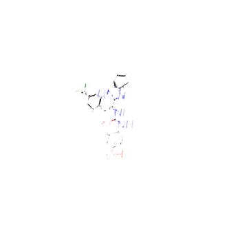 O=C(NC1CCC(O)CC1)NC(Cc1ccc(C(F)F)cc1)c1nc2ccccc2[nH]1